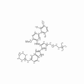 COc1cnc(-c2c(F)ccc(Cl)c2F)nc1Nc1cn(COCC[Si](C)(C)C)nc1-c1nc2cc(CN3CCOCC3)ccc2[nH]1